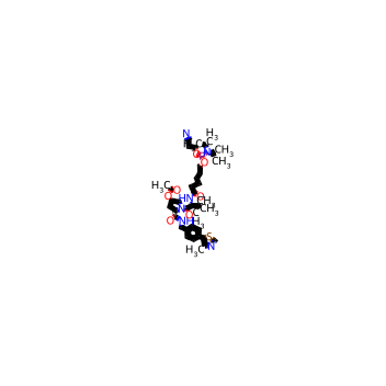 CC(=O)O[C@@H]1C[C@@H](C(=O)NCc2ccc(-c3scnc3C)cc2)N(C(=O)[C@@H](NC(=O)CCCCCOP(OCCC#N)N(C(C)C)C(C)C)C(C)(C)C)C1